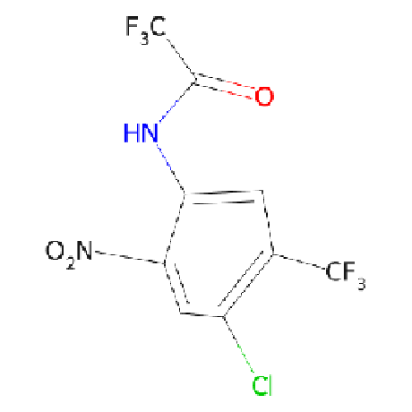 O=C(Nc1cc(C(F)(F)F)c(Cl)cc1[N+](=O)[O-])C(F)(F)F